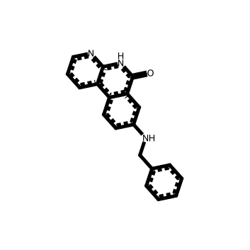 O=c1[nH]c2ncccc2c2ccc(NCc3ccccc3)cc12